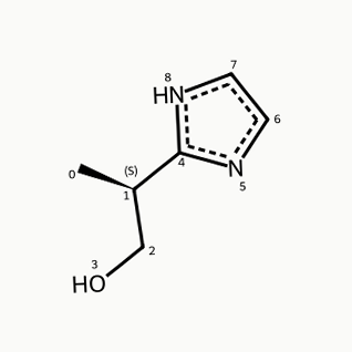 C[C@H](CO)c1ncc[nH]1